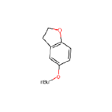 CCCCOc1ccc2c(c1)CCO2